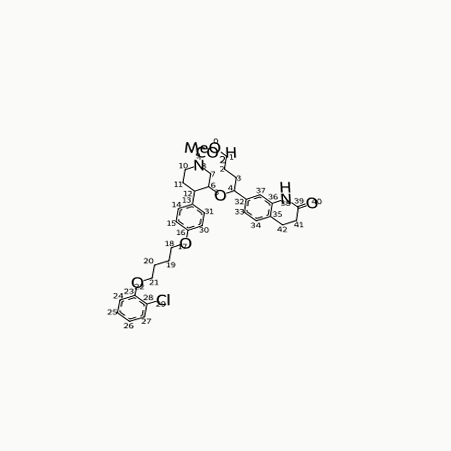 COCCCC(OC1CN(C(=O)O)CCC1c1ccc(OCCCCOc2ccccc2Cl)cc1)c1ccc2c(c1)NC(=O)CC2